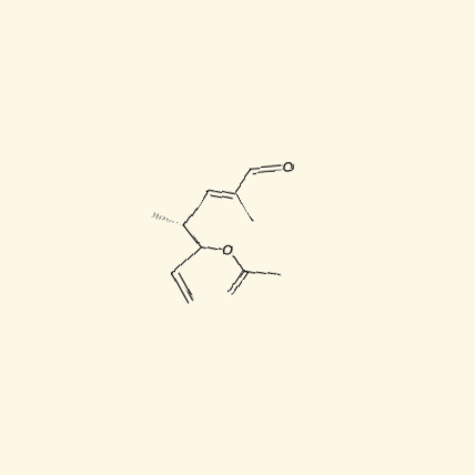 C=CC(OC(=C)C)[C@H](C)/C=C(\C)C=O